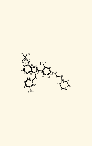 CCc1ccnc(Cn2c(-c3ccc(OCCN4CCNCC4)cc3Cl)nc3c(OC4(C)CC4)ncnc32)c1